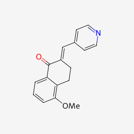 COc1cccc2c1CCC(=Cc1ccncc1)C2=O